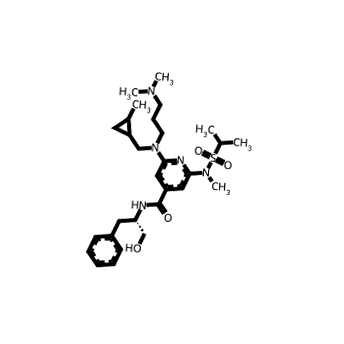 CC1CC1CN(CCCN(C)C)c1cc(C(=O)N[C@H](CO)Cc2ccccc2)cc(N(C)S(=O)(=O)C(C)C)n1